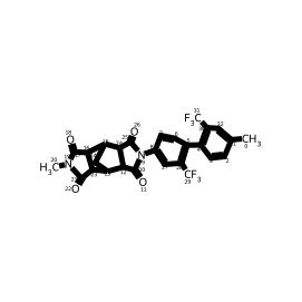 Cc1ccc(-c2ccc(N3C(=O)C4C5CC(C6C(=O)N(C)C(=O)C56)C4C3=O)cc2C(F)(F)F)c(C(F)(F)F)c1